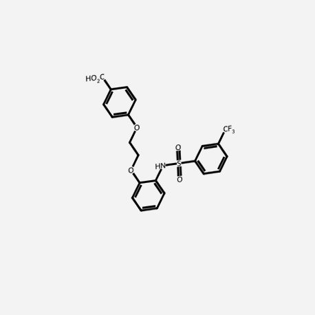 O=C(O)c1ccc(OCCOc2ccccc2NS(=O)(=O)c2cccc(C(F)(F)F)c2)cc1